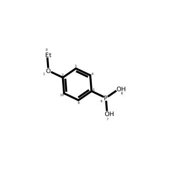 CCOc1ccc(P(O)O)cc1